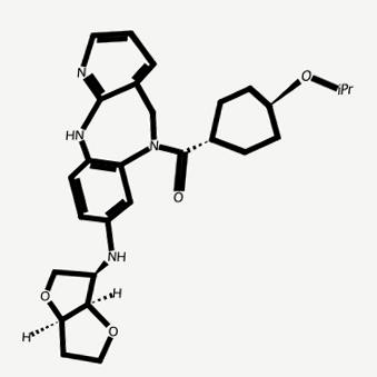 CC(C)O[C@H]1CC[C@H](C(=O)N2Cc3cccnc3Nc3ccc(N[C@@H]4CO[C@@H]5CCO[C@H]45)cc32)CC1